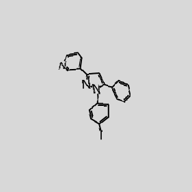 Ic1ccc(-n2nc(-c3cccnc3)cc2-c2ccccc2)cc1